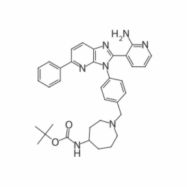 CC(C)(C)OC(=O)NC1CCCN(Cc2ccc(-n3c(-c4cccnc4N)nc4ccc(-c5ccccc5)nc43)cc2)CC1